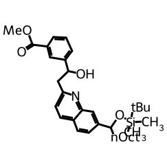 CCCCCCCCC(O[Si](C)(C)C(C)(C)C)c1ccc2ccc(CC(O)c3cccc(C(=O)OC)c3)nc2c1